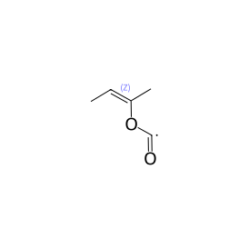 C/C=C(/C)O[C]=O